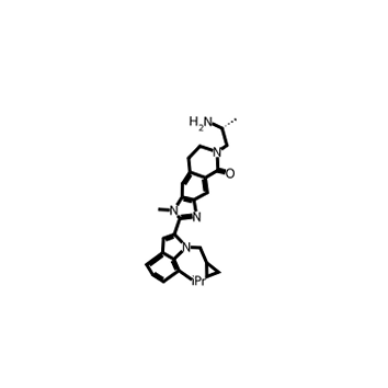 CC(C)c1cccc2cc(-c3nc4cc5c(cc4n3C)CCN(C[C@@H](C)N)C5=O)n(CC3CC3)c12